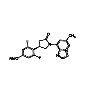 COc1cc(F)c([C@H]2CC(=O)N(c3cc(C)cn4ccnc34)C2)c(F)c1